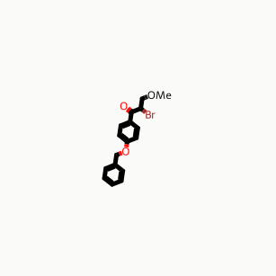 COCC(Br)C(=O)c1ccc(OCc2ccccc2)cc1